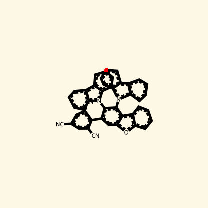 N#Cc1cc(C#N)c(-c2cc3oc4ccccc4c3c(-n3c4ccccc4c4ccccc43)c2-n2c3ccccc3c3ccccc32)c(C#N)c1